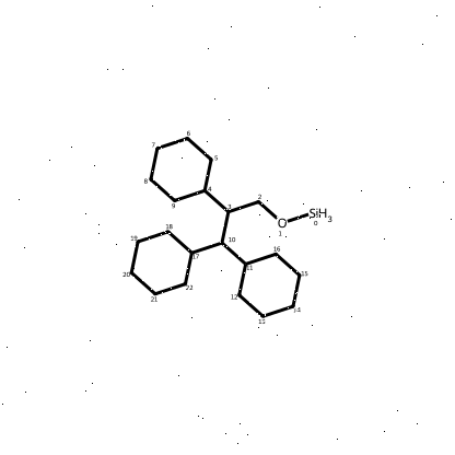 [SiH3]OCC(C1CCCCC1)C(C1CCCCC1)C1CCCCC1